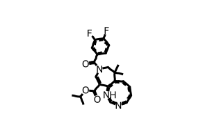 CC(C)OC(=O)C1=CN(C(=O)c2ccc(F)c(F)c2)CC(C)(C)c2ccccnc[nH]c21